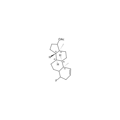 CC(=O)OC1CC[C@H]2[C@@H]3CCC4C(F)CC=C[C@]4(C)[C@@H]3CC[C@]12C